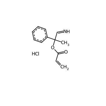 C=CC(=O)OC(C)(C=N)c1ccccc1.Cl